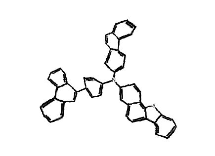 c1ccc2c(c1)ccc1cc(N(c3ccc(-c4cc5ccccc5c5ccccc45)cc3)c3ccc4c(ccc5c6ccccc6sc45)c3)ccc12